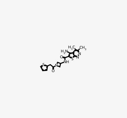 Cc1nnc2sc(C(=O)NC3CN(C(=O)Cc4cccs4)C3)c(N)c2c1C